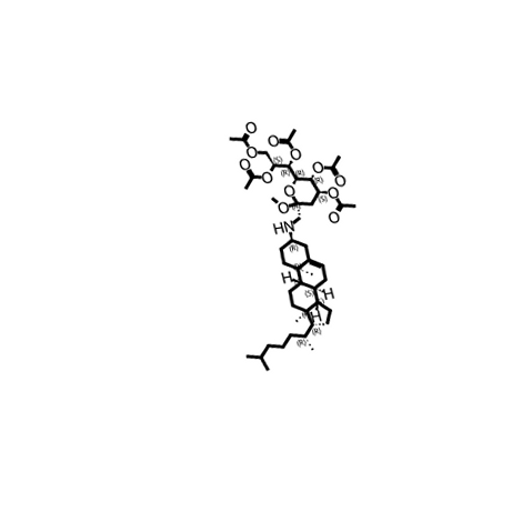 CO[C@]1(CN[C@@H]2CC[C@@]3(C)C(=CC[C@H]4[C@@H]5CC[C@H]([C@H](C)CCCC(C)C)[C@@]5(C)CC[C@@H]43)C2)C[C@H](OC(C)=O)[C@@H](OC(C)=O)[C@H]([C@H](OC(C)=O)[C@H](COC(C)=O)OC(C)=O)O1